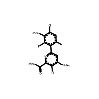 COC(=O)c1nc(-c2c(F)cc(Cl)c(OC)c2F)cc(NC(C)=O)c1Cl